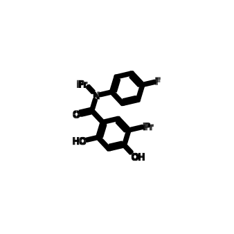 CC(C)c1cc(C(=O)N(c2ccc(F)cc2)C(C)C)c(O)cc1O